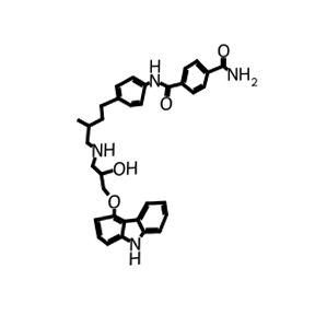 CC(CCc1ccc(NC(=O)c2ccc(C(N)=O)cc2)cc1)CNCC(O)COc1cccc2[nH]c3ccccc3c12